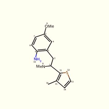 CNC(Cc1cc(OC)ccc1N)c1sccc1C